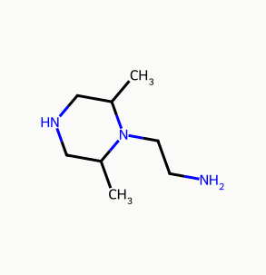 CC1CNCC(C)N1CCN